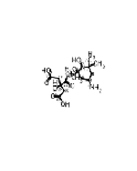 CC1(C)CC(N)CC(C)(C)N1O.O=C(O)CC(O)(CC(=O)O)C(=O)O